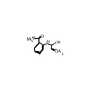 C=CC(C#N)Nc1ccccc1C(N)=O